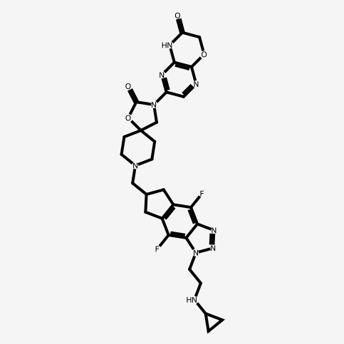 O=C1COc2ncc(N3CC4(CCN(CC5Cc6c(c(F)c7c(nnn7CCNC7CC7)c6F)C5)CC4)OC3=O)nc2N1